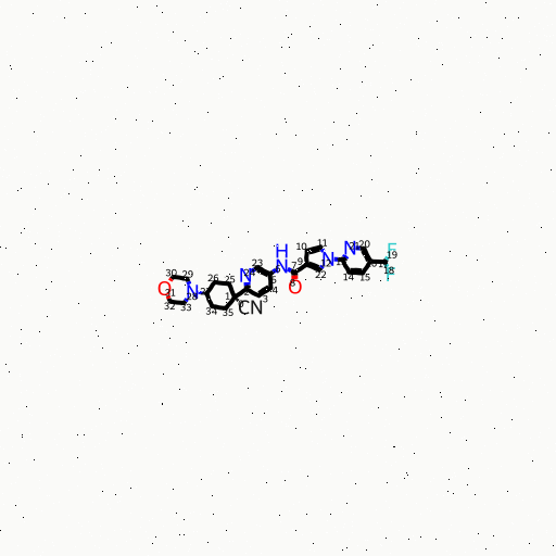 N#C[C@]1(c2ccc(NC(=O)c3ccn(-c4ccc(C(F)F)cn4)c3)cn2)CC[C@H](N2CCOCC2)CC1